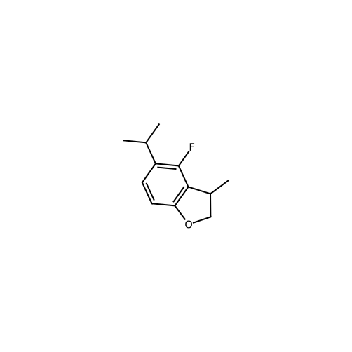 CC(C)c1ccc2c(c1F)C(C)CO2